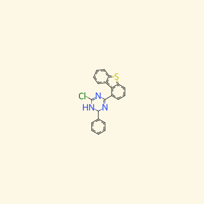 ClC1=NC(c2cccc3sc4ccccc4c23)=NC(c2ccccc2)N1